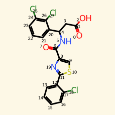 O=C(O)CC(NC(=O)c1csc(-c2ccccc2Cl)n1)c1cccc(Cl)c1Cl